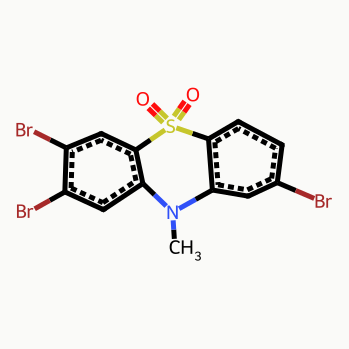 CN1c2cc(Br)ccc2S(=O)(=O)c2cc(Br)c(Br)cc21